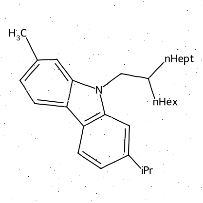 CCCCCCCC(CCCCCC)Cn1c2cc(C)ccc2c2ccc(C(C)C)cc21